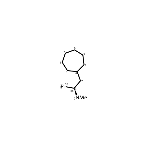 CN[C@H](CC1CCCCCC1)C(C)C